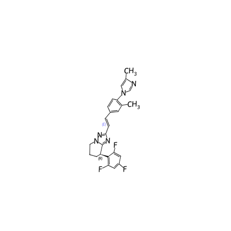 Cc1cn(-c2ccc(/C=C/c3nc4n(n3)CCC[C@@H]4c3c(F)cc(F)cc3F)cc2C)cn1